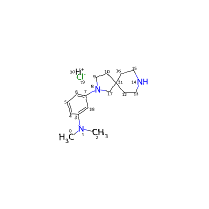 CN(C)c1cccc(N2CCC3(CCNCC3)C2)c1.[Cl-].[H+]